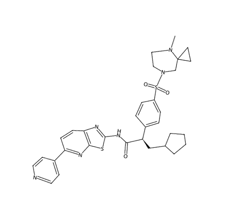 CN1CCN(S(=O)(=O)c2ccc([C@@H](CC3CCCC3)C(=O)Nc3nc4ccc(-c5ccncc5)nc4s3)cc2)CC12CC2